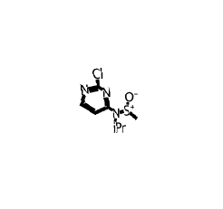 CC(C)N(c1ccnc(Cl)n1)[S+](C)[O-]